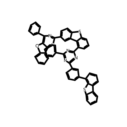 c1ccc(-c2nc(-c3cccc(-c4cccc5c4sc4ccccc45)c3)nc(-c3cccc4sc5ccc(-c6nc(-c7ccccc7)c7oc8ccccc8c7n6)cc5c34)n2)cc1